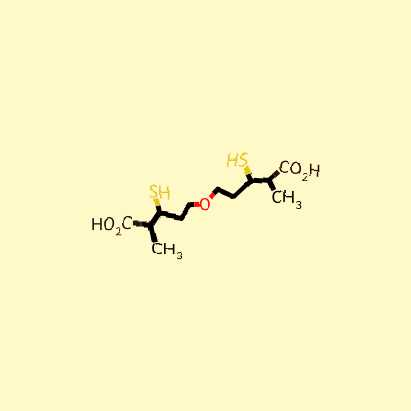 CC(C(=O)O)C(S)CCOCCC(S)C(C)C(=O)O